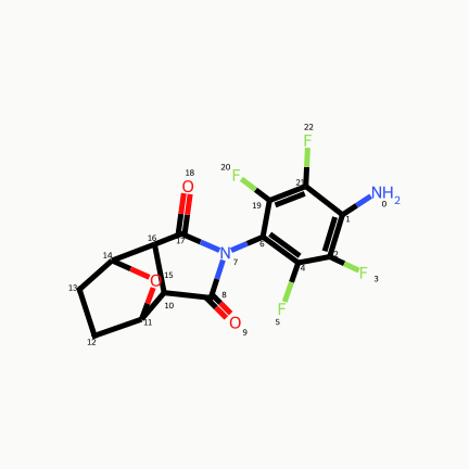 Nc1c(F)c(F)c(N2C(=O)C3C4CCC(O4)C3C2=O)c(F)c1F